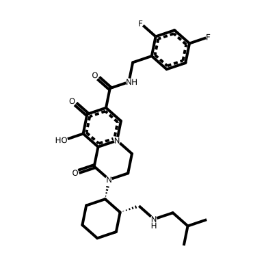 CC(C)CNC[C@@H]1CCCC[C@@H]1N1CCn2cc(C(=O)NCc3ccc(F)cc3F)c(=O)c(O)c2C1=O